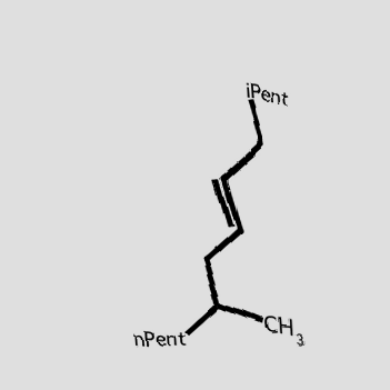 CCCCCC(C)CC=CCC(C)CCC